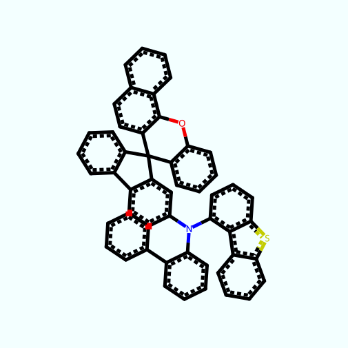 c1ccc(-c2ccccc2N(c2ccc3c(c2)C2(c4ccccc4Oc4c2ccc2ccccc42)c2ccccc2-3)c2cccc3sc4ccccc4c23)cc1